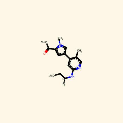 CC[C@@H](COC(C)=O)Nc1cc(-c2cc(C(=O)OC)n(C)c2)c(C)cn1